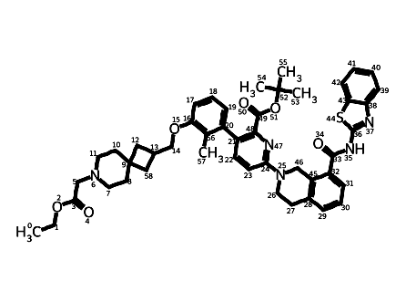 CCOC(=O)CN1CCC2(CC1)CC(COc1cccc(-c3ccc(N4CCc5cccc(C(=O)Nc6nc7ccccc7s6)c5C4)nc3C(=O)OC(C)(C)C)c1C)C2